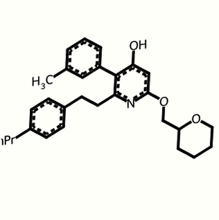 CCCc1ccc(CCc2nc(OCC3CCCCO3)cc(O)c2-c2cccc(C)c2)cc1